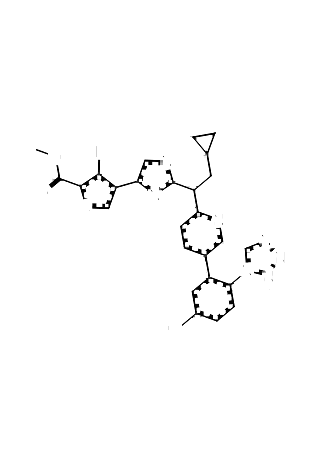 COC(=O)c1scc(-c2cnc(C(CC3CC3)c3ccc(-c4cc(Cl)ccc4-n4cnnn4)cn3)[nH]2)c1F